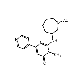 CC(=O)N1CCCCC(Nc2nc(-c3ccncc3)cc(=O)n2C)C1